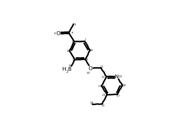 Bc1cc(C(C)=O)ccc1OCc1cc(CC)ccn1